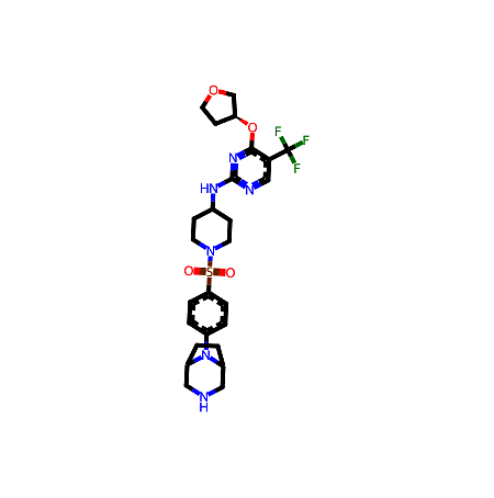 O=S(=O)(c1ccc(N2C3CCC2CNC3)cc1)N1CCC(Nc2ncc(C(F)(F)F)c(O[C@H]3CCOC3)n2)CC1